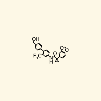 O=C(Nc1ccc(-c2ccc(CO)cc2)c(C(F)(F)F)c1)C1(c2ccc3c(c2)OCO3)CC1